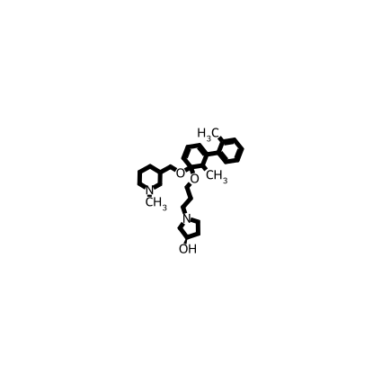 Cc1ccccc1C1=CC=CC(OCCCN2CC[C@@H](O)C2)(OCC2CCCN(C)C2)C1C